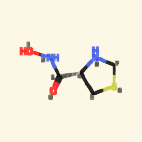 O=C(NO)[C@H]1CSCN1